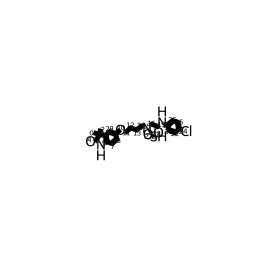 CC1(C)C(=O)Nc2ccc(OCCCC=[N+](CC(=O)Nc3ccc(Cl)cc3)OS)cc21